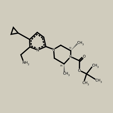 C[C@@H]1CN(c2ccc(C3CC3)c(CN)n2)C[C@H](C)N1C(=O)OC(C)(C)C